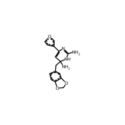 NC1=NC(c2ccoc2)=CC(N)(Cc2ccc3c(c2)OCO3)N1